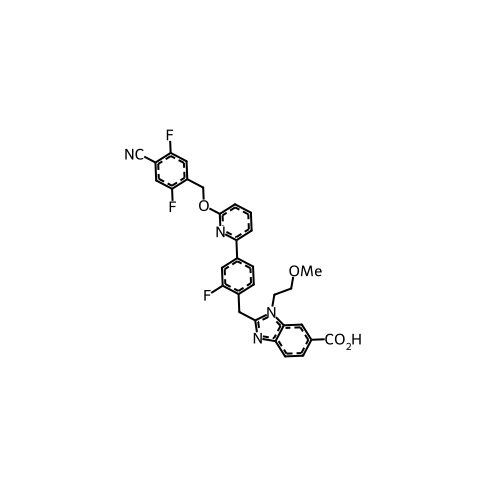 COCCn1c(Cc2ccc(-c3cccc(OCc4cc(F)c(C#N)cc4F)n3)cc2F)nc2ccc(C(=O)O)cc21